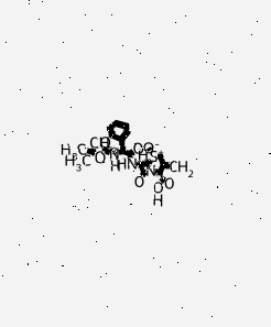 C=C1C[S+]([O-])[C@H]2[C@H](NC(=O)C(NC(=O)OC(C)(C)C)c3ccccc3)C(=O)N2[C@H]1C(=O)O